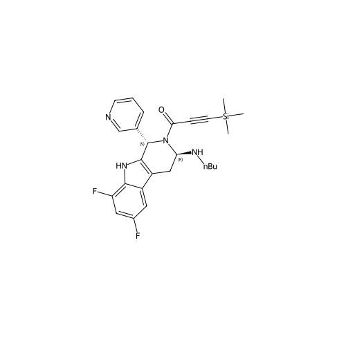 CCCCN[C@H]1Cc2c([nH]c3c(F)cc(F)cc23)[C@H](c2cccnc2)N1C(=O)C#C[Si](C)(C)C